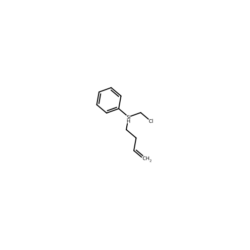 C=CCC[SiH](CCl)c1ccccc1